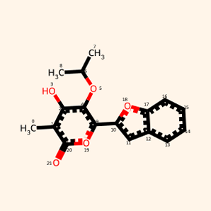 Cc1c(O)c(OC(C)C)c(-c2cc3ccccc3o2)oc1=O